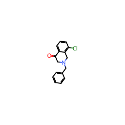 O=C1CN(Cc2ccccc2)Cc2c(Cl)cccc21